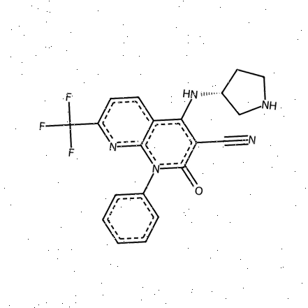 N#Cc1c(N[C@@H]2CCNC2)c2ccc(C(F)(F)F)nc2n(-c2ccccc2)c1=O